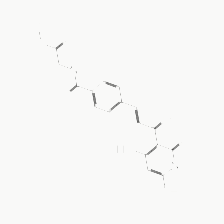 COC(=O)CNC(=O)c1ccc(/C=C/C(=O)c2c(O)cc(C)[nH]c2=O)cc1